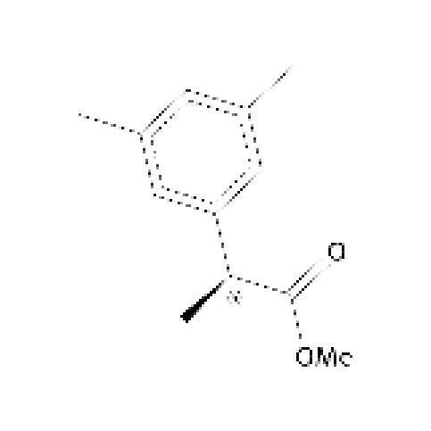 COC(=O)[C@@H](C)c1cc(C)cc(C)c1